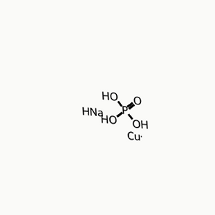 O=P(O)(O)O.[Cu].[NaH]